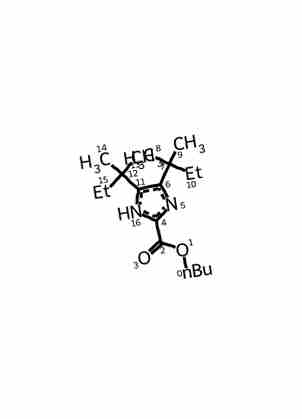 CCCCOC(=O)c1nc(C(C)(C)CC)c(C(C)(C)CC)[nH]1